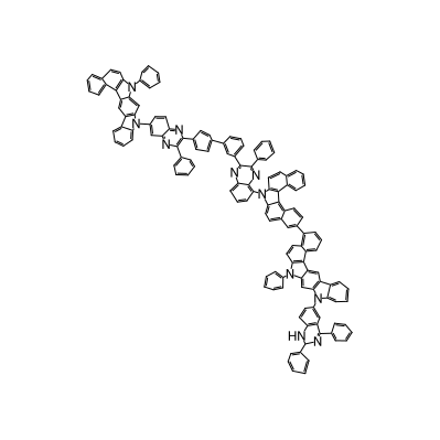 c1ccc(C2=NC(c3ccccc3)Nc3ccc(-n4c5ccccc5c5cc6c7c8cccc(-c9ccc%10c(ccc%11c%10c%10c%12ccccc%12ccc%10n%11-c%10cccc%11nc(-c%12cccc(-c%13ccc(-c%14nc%15ccc(-n%16c%17ccccc%17c%17cc%18c%19c%20ccccc%20ccc%19n(-c%19ccccc%19)c%18cc%17%16)cc%15nc%14-c%14ccccc%14)cc%13)c%12)c(-c%12ccccc%12)nc%10%11)c9)c8ccc7n(-c7ccccc7)c6cc54)cc32)cc1